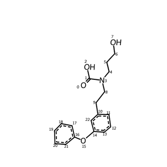 O=C(O)N(CCCO)CCc1cccc(Oc2ccccc2)c1